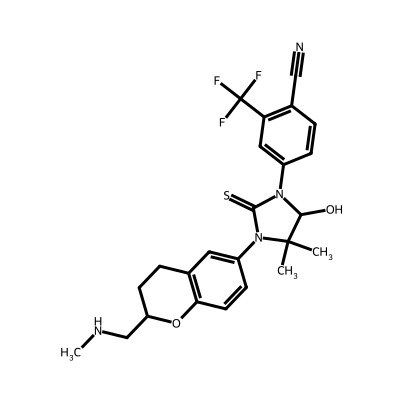 CNCC1CCc2cc(N3C(=S)N(c4ccc(C#N)c(C(F)(F)F)c4)C(O)C3(C)C)ccc2O1